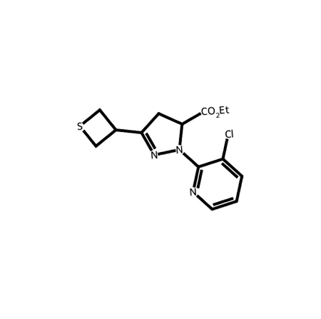 CCOC(=O)C1CC(C2CSC2)=NN1c1ncccc1Cl